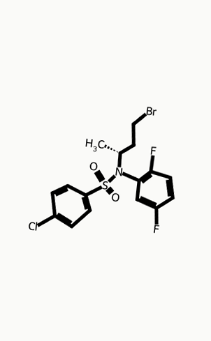 C[C@H](CCBr)N(c1cc(F)ccc1F)S(=O)(=O)c1ccc(Cl)cc1